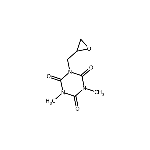 Cn1c(=O)n(C)c(=O)n(CC2CO2)c1=O